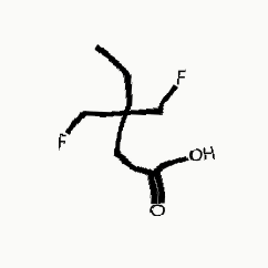 CCC(CF)(CF)CC(=O)O